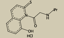 CC(C)NCC(=O)n1c(=S)ccc2cccc(O)c21.Cl